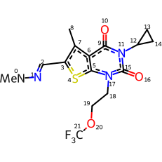 CN/N=C/c1sc2c(c1C)c(=O)n(C1CC1)c(=O)n2CCOC(F)(F)F